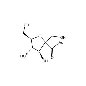 CC(=O)C(=O)C1(CO)O[C@H](CO)[C@@H](O)[C@@H]1O